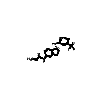 C=CC(=O)Nc1ccc2c(c1)CC[C@H]2Nc1cc(C(F)(F)F)ccn1